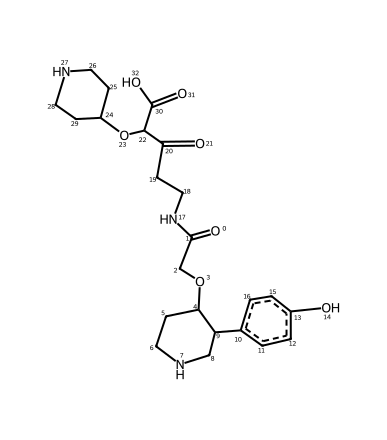 O=C(COC1CCNCC1c1ccc(O)cc1)NCCC(=O)C(OC1CCNCC1)C(=O)O